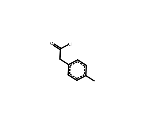 Cc1ccc(CC(=O)Cl)cc1